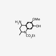 CCOC(=O)N1c2cc(O)c(OC)cc2C(N)CC1C